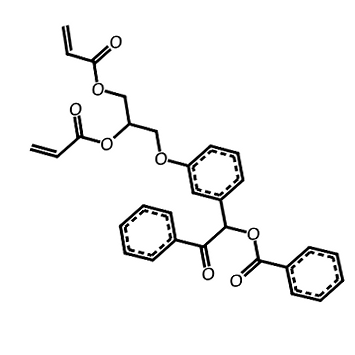 C=CC(=O)OCC(COc1cccc(C(OC(=O)c2ccccc2)C(=O)c2ccccc2)c1)OC(=O)C=C